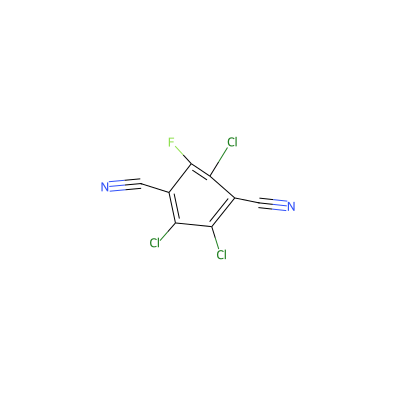 N#Cc1c(F)c(Cl)c(C#N)c(Cl)c1Cl